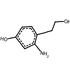 Nc1cc(O)ccc1CCO